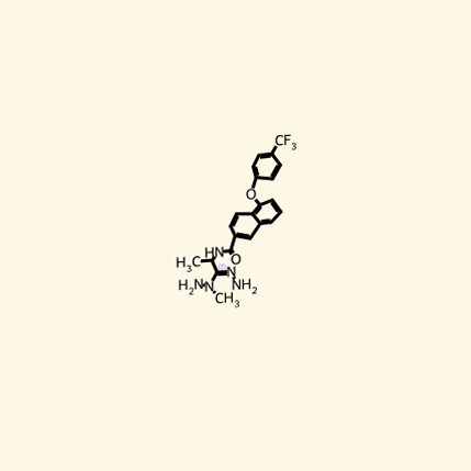 CC(NC(=O)c1ccc2c(Oc3ccc(C(F)(F)F)cc3)cccc2c1)/C(=N/N)N(C)N